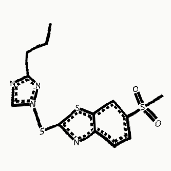 CCCc1ncn(Sc2nc3ccc(S(C)(=O)=O)cc3s2)n1